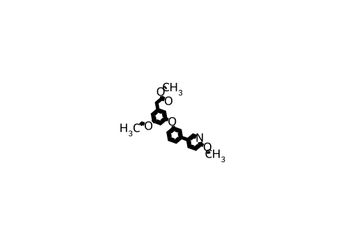 CCOc1cc(CC(=O)OC)cc(Oc2cccc(-c3ccc(OC)nc3)c2)c1